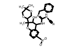 CC1(C)COC(C2(C)Oc3ccc([N+](=O)[O-])cc3C(NC(=NCc3ccccc3)NC#N)C2O)CO1